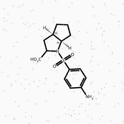 Nc1ccc(S(=O)(=O)N2C(C(=O)O)C[C@H]3CCC[C@H]32)cc1